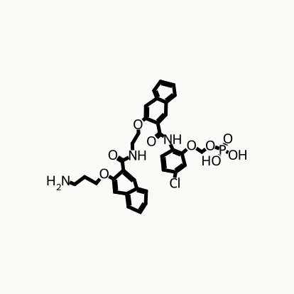 NCCCOc1cc2ccccc2cc1C(=O)NCCOc1cc2ccccc2cc1C(=O)Nc1ccc(Cl)cc1OCOP(=O)(O)O